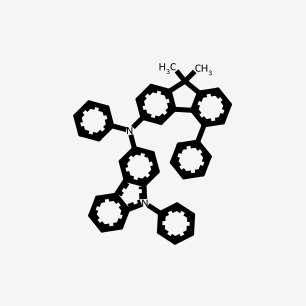 CC1(C)c2ccc(N(c3ccccc3)c3ccc4c(c3)c3ccccc3n4-c3ccccc3)cc2-c2c(-c3ccccc3)cccc21